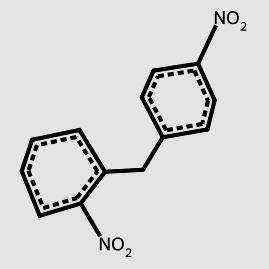 O=[N+]([O-])c1ccc(Cc2ccccc2[N+](=O)[O-])cc1